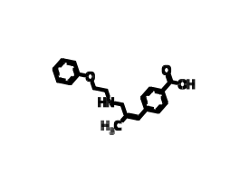 CC(=Cc1ccc(C(=O)O)cc1)CNCCOc1ccccc1